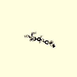 CC1(OC(=O)N2CCC(COc3c(F)cc(-c4cnc(C(=O)N(CCO)CCO)nc4)cc3F)CC2)CC1